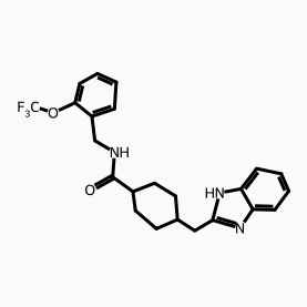 O=C(NCc1ccccc1OC(F)(F)F)C1CCC(Cc2nc3ccccc3[nH]2)CC1